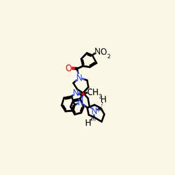 Cc1nc2ccccc2n1C1C[C@H]2CC[C@@H](C1)N2CCC1(c2ccccc2)CCN(C(=O)c2ccc([N+](=O)[O-])cc2)CC1